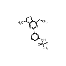 CCc1nc(-c2cccc(NS(C)(=O)=O)c2)nc2c(C)csc12